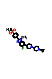 Cn1c(-c2ccc(S(C)(=O)=O)cc2)nc2cc(F)c(C3CCN(C4CCN(C5CC5)CC4)CC3)cc21